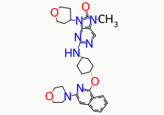 Cn1c(=O)n(C2CCOCC2)c2nc(N[C@H]3CC[C@@H](Oc4nc(N5CCOCC5)cc5ccccc45)CC3)ncc21